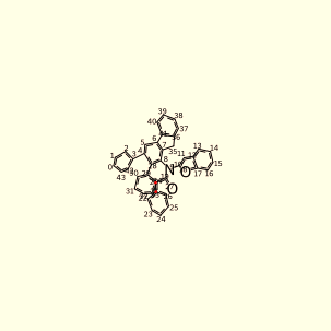 c1ccc(-c2cc3c(c(N(c4cc5ccccc5o4)c4cc5ccccc5o4)c2-c2ccccc2)Cc2ccccc2-3)cc1